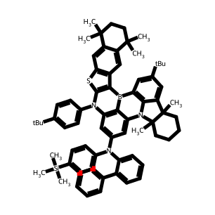 CC(C)(C)c1ccc(N2c3cc(N(c4ccc([Si](C)(C)C)cc4)c4ccccc4-c4ccccc4)cc4c3B(c3cc(C(C)(C)C)cc5c3N4C3(C)CCCCC53C)c3c2sc2cc4c(cc32)C(C)(C)CCC4(C)C)cc1